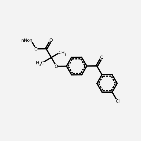 CCCCCCCCCOC(=O)C(C)(C)Oc1ccc(C(=O)c2ccc(Cl)cc2)cc1